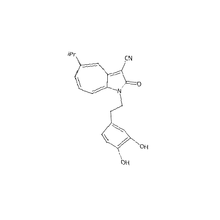 CC(C)c1cccc2n(CCc3ccc(O)c(O)c3)c(=O)c(C#N)c-2c1